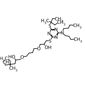 CCCCN(CCCC)c1nc(SCC(O)COCCCCOCC(O)CC(C)(CC)CC)nc(SC(C)(CC)CC)n1